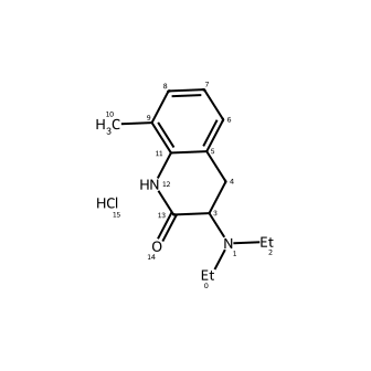 CCN(CC)C1Cc2cccc(C)c2NC1=O.Cl